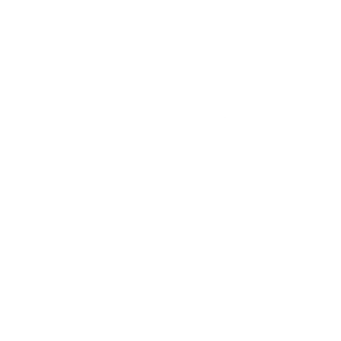 CCC/C=C/C(O)C(F)(F)C(=O)c1ccc2ccccc2c1